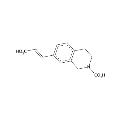 O=C(O)C=Cc1ccc2c(c1)CN(C(=O)O)CC2